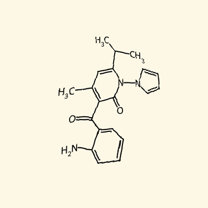 Cc1cc(C(C)C)n(-n2cccc2)c(=O)c1C(=O)c1ccccc1N